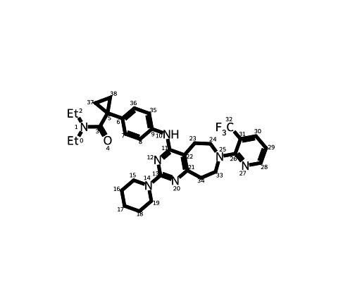 CCN(CC)C(=O)C1(c2ccc(Nc3nc(N4CCCCC4)nc4c3CCN(c3ncccc3C(F)(F)F)CC4)cc2)CC1